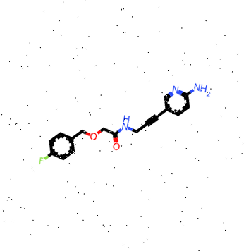 Nc1ccc(C#CCNC(=O)COCc2ccc(F)cc2)cn1